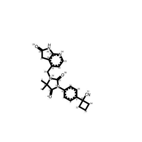 CC1(C)C(=O)N(c2ccc(C3(C#N)CCC3)cc2)C(=O)N1Cc1ccnc2c1CC(=O)N2